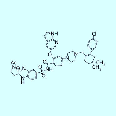 CC(=O)N1CCC(Nc2ccc(S(=O)(=O)NC(=O)c3ccc(N4CCN(CC5=C(c6ccc(Cl)cc6)CC(C)(C)CC5)CC4)cc3Oc3cnc4[nH]ccc4c3)cc2[N+](=O)[O-])C1